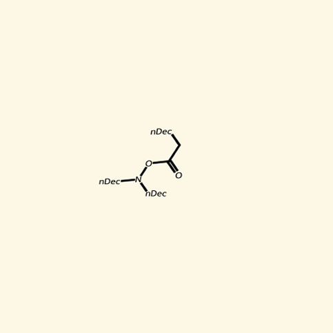 CCCCCCCCCCCC(=O)ON(CCCCCCCCCC)CCCCCCCCCC